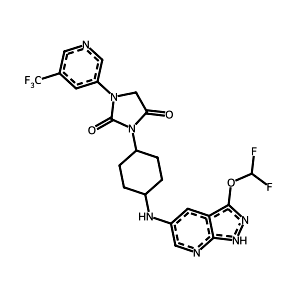 O=C1CN(c2cncc(C(F)(F)F)c2)C(=O)N1C1CCC(Nc2cnc3[nH]nc(OC(F)F)c3c2)CC1